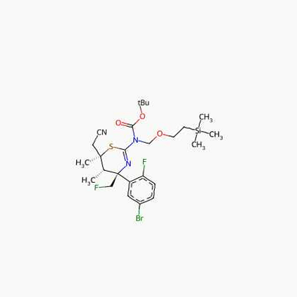 C[C@@H]1[C@@](C)(CC#N)SC(N(COCC[Si](C)(C)C)C(=O)OC(C)(C)C)=N[C@]1(CF)c1cc(Br)ccc1F